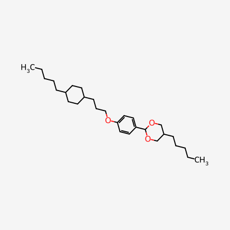 CCCCCC1CCC(CCCOc2ccc(C3OCC(CCCCC)CO3)cc2)CC1